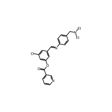 CCN(CC)Cc1ccc(N=Cc2cc(Cl)cc(OC(=O)c3cccnc3)c2)cc1